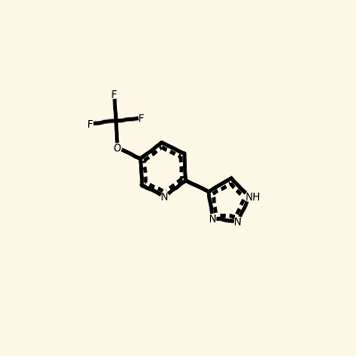 FC(F)(F)Oc1ccc(-c2c[nH]nn2)nc1